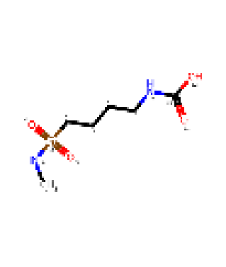 CNS(=O)(=O)CCCCNC(=O)O